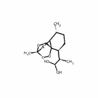 C[C@@H]1CC[C@@H]([C@@H](C)C(O)O)[C@@]23CO[C@](C)(CCC12)OO3